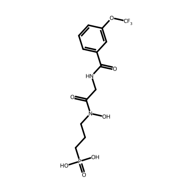 O=C(NCC(=O)N(O)CCCP(=O)(O)O)c1cccc(OC(F)(F)F)c1